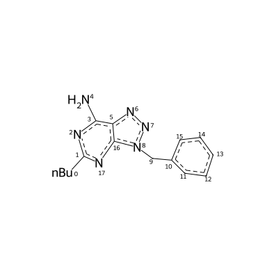 CCCCc1nc(N)c2nnn(Cc3ccccc3)c2n1